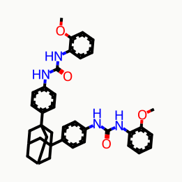 COc1ccccc1NC(=O)Nc1ccc(C23CC4CC(C2)CC(c2ccc(NC(=O)Nc5ccccc5OC)cc2)(C4)C3)cc1